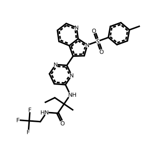 CCC(C)(Nc1ccnc(-c2cn(S(=O)(=O)c3ccc(C)cc3)c3ncccc23)n1)C(=O)NCC(F)(F)F